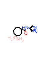 BC1(B)CCCCC(C)(C(=O)Nc2cnn(C)c2)CC1